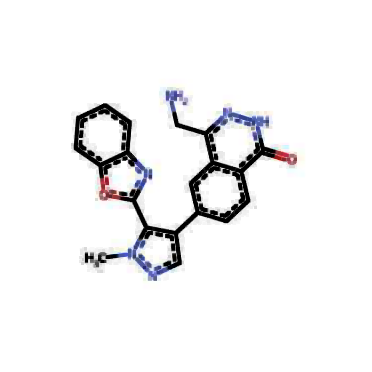 Cn1ncc(-c2ccc3c(=O)[nH]nc(CN)c3c2)c1-c1nc2ccccc2o1